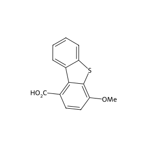 COc1ccc(C(=O)O)c2c1sc1ccccc12